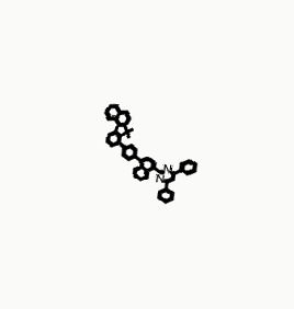 CC1(C)c2ccc3ccccc3c2-c2cccc(-c3ccc(-c4ccc(-c5nc(-c6ccccc6)cc(-c6ccccc6)n5)c5ccccc45)cc3)c21